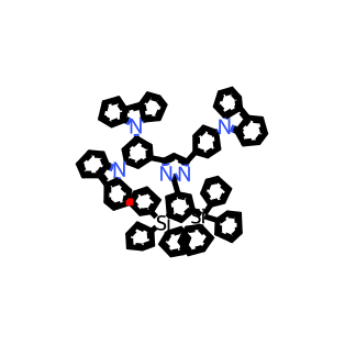 c1ccc([Si](c2ccccc2)(c2ccccc2)c2cc(-c3nc(-c4ccc(-n5c6ccccc6c6ccccc65)cc4)cc(-c4cc(-n5c6ccccc6c6ccccc65)cc(-n5c6ccccc6c6ccccc65)c4)n3)cc([Si](c3ccccc3)(c3ccccc3)c3ccccc3)c2)cc1